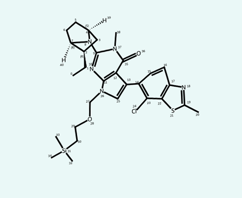 CC[C@@H]1C[C@@H]2CC[C@H]1N2c1nc2c(c(-c3ccc4nc(C)sc4c3Cl)cn2COCC[Si](C)(C)C)c(=O)n1C